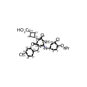 CC(C)Oc1ccc(/N=c2\[nH]c(=O)n([C@H]3C[C@H](C(=O)O)C3)c(=O)n2Cc2ccc(Cl)cc2)cc1Cl